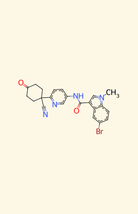 Cn1cc(C(=O)Nc2ccc(C3(C#N)CCC(=O)CC3)nc2)c2cc(Br)ccc21